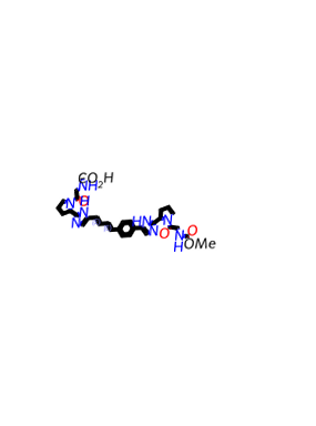 COC(=O)NCC(=O)N1CCCC1c1ncc(-c2ccc(/C=C/C=C/c3cnc(C4CCCN4C(=O)CNC(=O)O)[nH]3)cc2)[nH]1